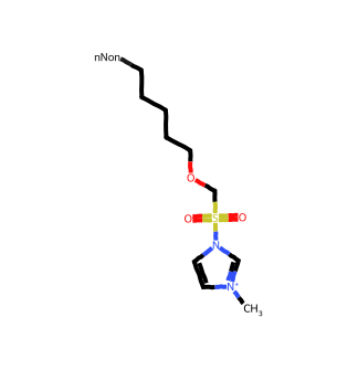 CCCCCCCCCCCCCCOCS(=O)(=O)n1cc[n+](C)c1